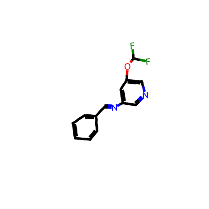 FC(F)Oc1cncc(N=Cc2ccccc2)c1